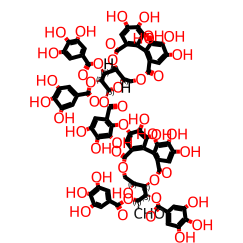 O=C[C@H](OC(=O)c1cc(O)c(O)c(O)c1)[C@@H](OC(=O)c1cc(O)c(O)c(O)c1)[C@@H]1OC(=O)c2cc(O)c(O)c(O)c2-c2c(cc(Oc3c(C(=O)O[C@@H]4O[C@@H]5COC(=O)c6cc(O)c(O)c(O)c6-c6c(cc(O)c(O)c6O)C(=O)O[C@H]5[C@H](OC(=O)c5cc(O)c(O)c(O)c5)[C@H]4OC(=O)c4cc(O)c(O)c(O)c4)cc(O)c(O)c3O)c(O)c2O)C(=O)OC[C@H]1O